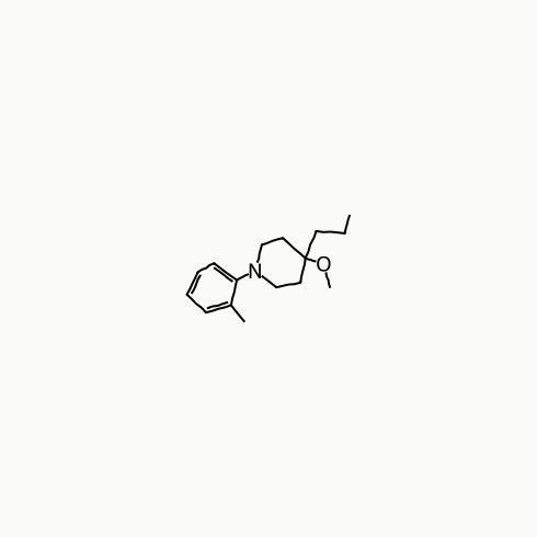 CCCC1(OC)CCN(c2ccccc2C)CC1